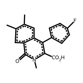 Cc1cc2c(-c3ccc(F)cc3)c(C(=O)O)n(C)c(=O)c2cc1C